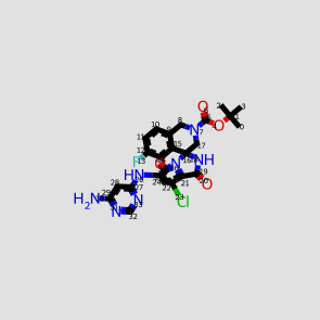 CC(C)(C)OC(=O)N1Cc2ccc(F)cc2C2(C1)NC(=O)c1c(Cl)cc(Nc3cc(N)ncn3)c(=O)n12